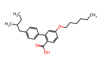 CCCCCCOc1ccc(C(=O)O)c(-c2ccc(CC(C)CC)cc2)c1